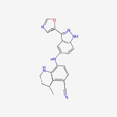 CC1CCNc2c(Nc3ccc4[nH]nc(-c5cnco5)c4c3)ccc(C#N)c21